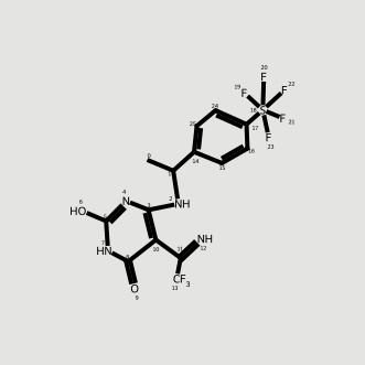 CC(Nc1nc(O)[nH]c(=O)c1C(=N)C(F)(F)F)c1ccc(S(F)(F)(F)(F)F)cc1